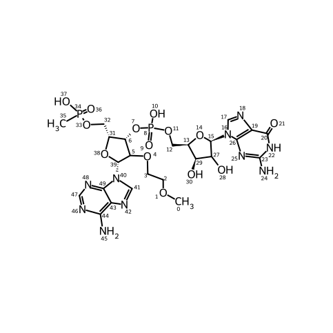 COCCOC1[C@@H](OP(=O)(O)OC[C@H]2O[C@@H](n3cnc4c(=O)[nH]c(N)nc43)C(O)[C@H]2O)[C@@H](COP(C)(=O)O)O[C@H]1n1cnc2c(N)ncnc21